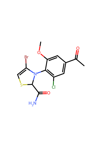 COc1cc(C(C)=O)cc(Cl)c1N1C(Br)=CSC1C(N)=O